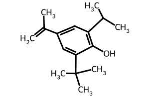 C=C(C)c1cc(C(C)C)c(O)c(C(C)(C)C)c1